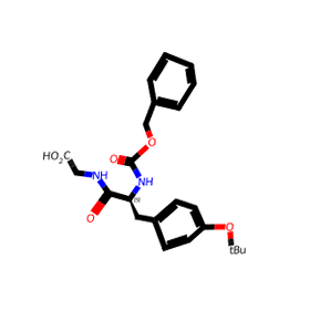 CC(C)(C)Oc1ccc(C[C@H](NC(=O)OCc2ccccc2)C(=O)NCC(=O)O)cc1